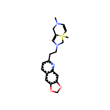 CN1C=CS2(C)CN(CCc3ccc4cc5c(cc4n3)OCO5)C=C2C1